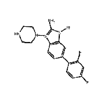 CCN1C(N)=S(N2CCNCC2)c2ccc(-c3ccc(F)cc3F)[c]c21